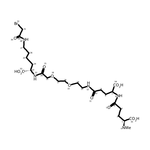 CN[C@@H](CCC(=O)NC(CCC(=O)NCCOCCOCC(=O)N[C@@H](CCCCNC(=O)CBr)C(=O)O)C(=O)O)C(=O)O